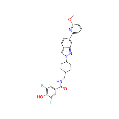 COc1cccc(-c2ccc3cn(C4CCC(CNC(=O)c5cc(F)c(O)c(F)c5)CC4)nc3c2)n1